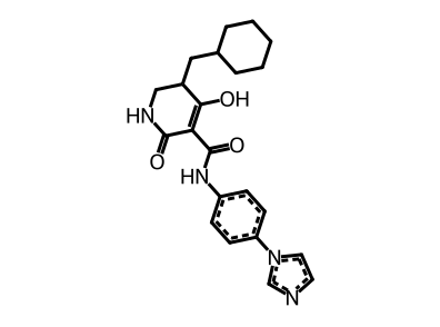 O=C1NCC(CC2CCCCC2)C(O)=C1C(=O)Nc1ccc(-n2ccnc2)cc1